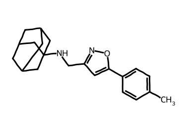 Cc1ccc(-c2cc(CNC34CC5CC(CC(C5)C3)C4)no2)cc1